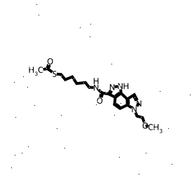 COCCn1ncc2c3[nH]nc(C(=O)NCCCCCCSC(C)=O)c3ccc21